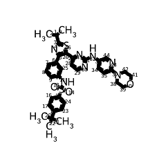 CC(C)c1nc(-c2cccc(NS(=O)(=O)c3ccc(C(C)(C)C)cc3)c2)c(-c2ccnc(Nc3ccc(N4CCOCC4)nc3)n2)s1